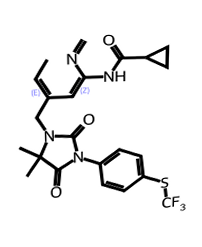 C=N/C(=C\C(=C/C)CN1C(=O)N(c2ccc(SC(F)(F)F)cc2)C(=O)C1(C)C)NC(=O)C1CC1